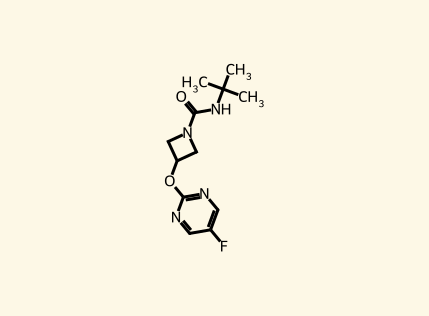 CC(C)(C)NC(=O)N1CC(Oc2ncc(F)cn2)C1